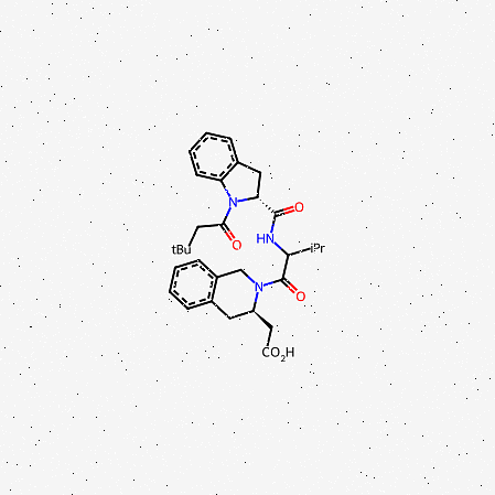 CC(C)C(NC(=O)[C@H]1Cc2ccccc2N1C(=O)CC(C)(C)C)C(=O)N1Cc2ccccc2C[C@@H]1CC(=O)O